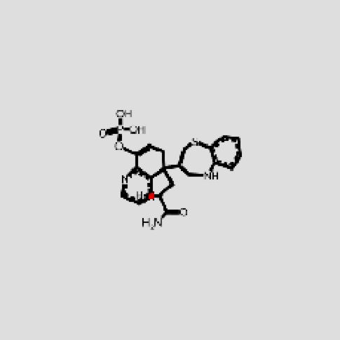 NC(=O)[C@@H](N)CC1(C2CNc3ccccc3SC2)CC=C(OP(=O)(O)O)c2ncccc21